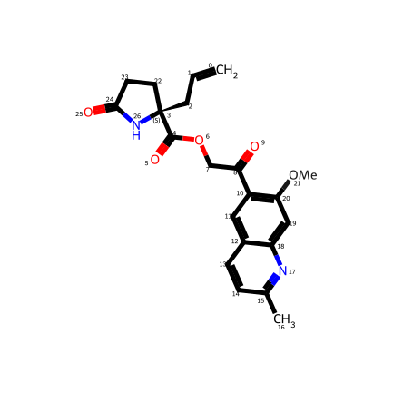 C=CC[C@]1(C(=O)OCC(=O)c2cc3ccc(C)nc3cc2OC)CCC(=O)N1